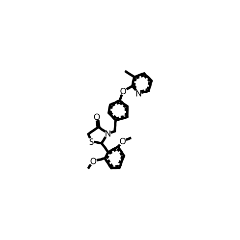 COc1cccc(OC)c1C1SCC(=O)N1Cc1ccc(Oc2ncccc2C)cc1